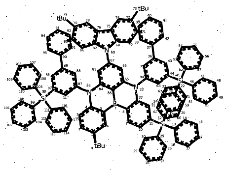 CC(C)(C)c1ccc2c(c1)B1c3ccc([Si](c4ccccc4)(c4ccccc4)c4ccccc4)cc3N(c3cc(-c4ccccc4)cc([Si](c4ccccc4)(c4ccccc4)c4ccccc4)c3)c3cc(-n4c5ccc(C(C)(C)C)cc5c5cc(C(C)(C)C)ccc54)cc(c31)N2c1cc(-c2ccccc2)cc([Si](c2ccccc2)(c2ccccc2)c2ccccc2)c1